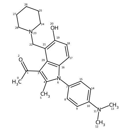 CC(=O)c1c(C)n(-c2ccc(N(C)C)cc2)c2ccc(O)c(CN3CCCCC3)c12